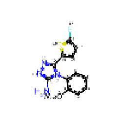 COc1ccccc1-n1c(N)nnc1-c1ccc(F)s1